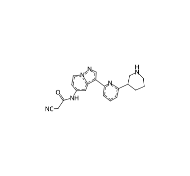 N#CCC(=O)Nc1ccn2ncc(-c3cccc(C4CCCNC4)n3)c2c1